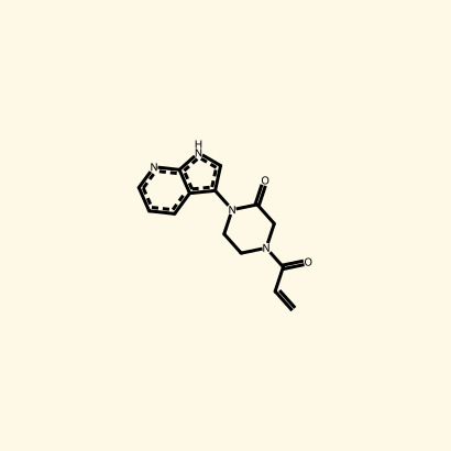 C=CC(=O)N1CCN(c2c[nH]c3ncccc23)C(=O)C1